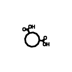 O=C(O)C1CCCCCCCC(C(=O)O)CCC1